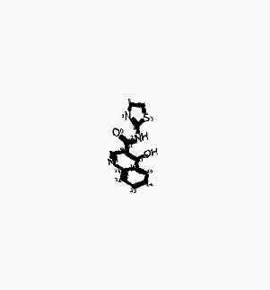 O=C(NC1=NCCS1)c1cnc2ccccc2c1O